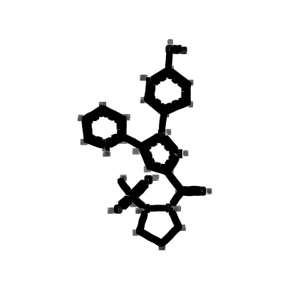 COc1ccc(-n2nc(C(=O)N3CCCN3S(C)(=O)=O)cc2-c2ccccn2)cn1